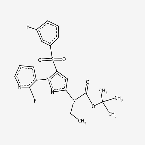 CCN(C(=O)OC(C)(C)C)c1cc(S(=O)(=O)c2cccc(F)c2)n(-c2cccnc2F)n1